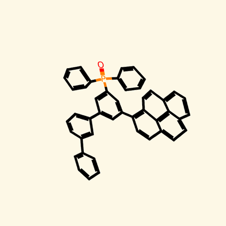 O=P(c1ccccc1)(c1ccccc1)c1cc(-c2cccc(-c3ccccc3)c2)cc(-c2ccc3ccc4cccc5ccc2c3c45)c1